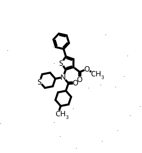 COC(=O)c1cc(-c2ccccc2)sc1N(C(=O)C1CCC(C)CC1)C1CCSCC1